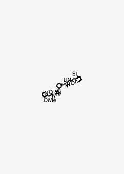 CCc1cccnc1CC(=O)Nc1nnc([C@H]2CCC[C@H](c3nnc(NC(=O)Cc4ncccc4OC)s3)C2)s1